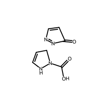 O=C(O)N1CC=CN1.O=C1C=CN=N1